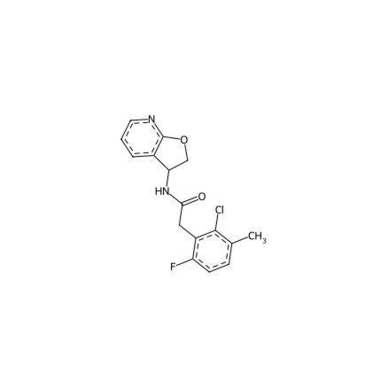 Cc1ccc(F)c(CC(=O)NC2COc3ncccc32)c1Cl